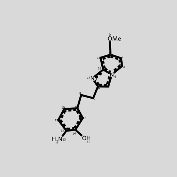 COc1ccn2cc(CCc3ccc(N)c(O)c3)nc2c1